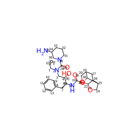 CC(C)CN(C[C@@H](O)[C@H](Cc1ccccc1)NC(=O)OC1C2COC3OCC1C3C2)C(=O)N1CCCC(N)C1